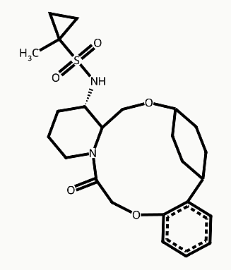 CC1(S(=O)(=O)N[C@H]2CCCN3C(=O)COc4ccccc4C4CCC(CC4)OCC23)CC1